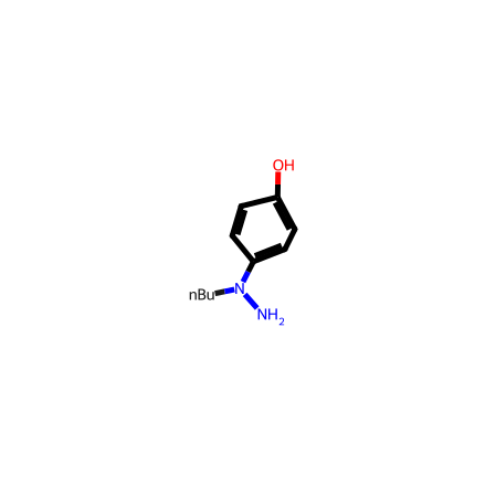 CCCCN(N)c1ccc(O)cc1